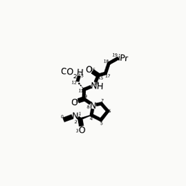 C=NC(=O)[C@@H]1CCCN1C(=O)[C@H](CC(=O)O)NC(=O)CCC(C)C